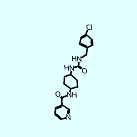 O=C(NCc1ccc(Cl)cc1)NC1CCC(NC(=O)c2cccnc2)CC1